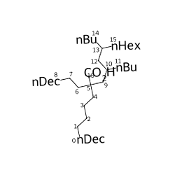 CCCCCCCCCCCCCCC(CCCCCCCCCCCC)(CC(CCCC)CC(CCCC)CCCCCC)C(=O)O